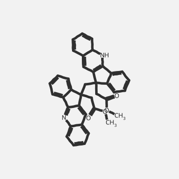 COC(=O)CC1(CC2(CC(=O)OC)c3ccccc3-c3nc4ccccc4cc32)C2=C(NC3C=CC=CC3=C2)c2ccccc21